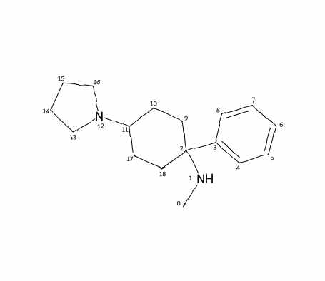 CNC1(c2ccccc2)CCC(N2CCCC2)CC1